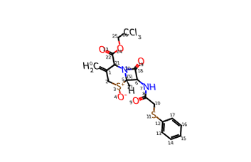 C=C1C[S+]([O-])[C@H]2C(NC(=O)CSc3ccccc3)C(=O)N2C1C(=O)OCC(Cl)(Cl)Cl